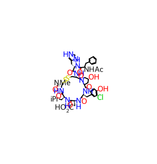 CNC(=O)[C@@H]1CSSC[C@H](NC(=O)[C@H](Cc2c[nH]cn2)NC(=O)[C@H](Cc2ccccc2)NC(C)=O)C(=O)N2CC(O)CC2C(=O)N[C@@H](Cc2ccc(O)c(Cl)c2)C(=O)N[C@@H](CC(=O)O)C(=O)N[C@@H](CC(C)C)C(=O)N1